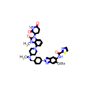 COc1cc2nn([C@H]3CC[C@H](CN(C)C4CCN(c5cccc6c5n(C)c(=O)n6C5CCC(=O)NC5=O)CC4)CC3)cc2cc1NC(=O)c1nccs1